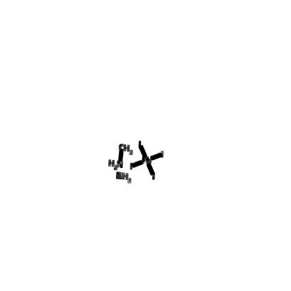 CN.[BiH3].[I][Pb]([I])([I])[I]